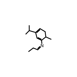 CC/C=N\C1=CC(C(C)C)=CCC1C